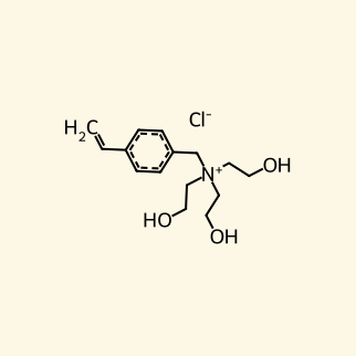 C=Cc1ccc(C[N+](CCO)(CCO)CCO)cc1.[Cl-]